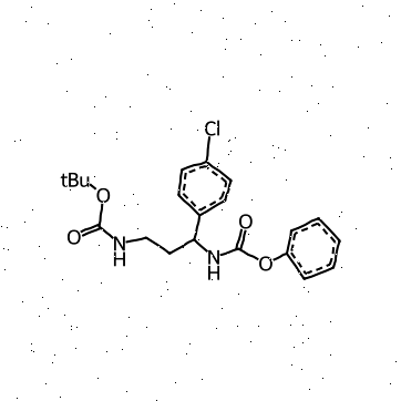 CC(C)(C)OC(=O)NCCC(NC(=O)Oc1ccccc1)c1ccc(Cl)cc1